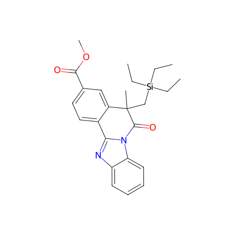 CC[Si](CC)(CC)CC1(C)C(=O)n2c(nc3ccccc32)-c2ccc(C(=O)OC)cc21